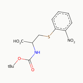 CC(C)(C)OC(=O)NC(CSc1ccccc1[N+](=O)[O-])C(=O)O